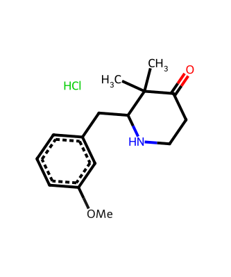 COc1cccc(CC2NCCC(=O)C2(C)C)c1.Cl